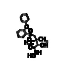 CC(C)(CS(=O)(=O)c1ccccc1Oc1ccccc1)C(O)C(=O)NO